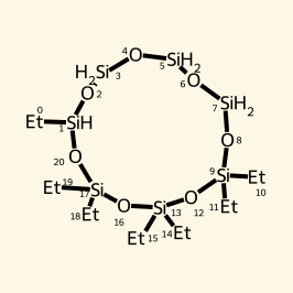 CC[SiH]1O[SiH2]O[SiH2]O[SiH2]O[Si](CC)(CC)O[Si](CC)(CC)O[Si](CC)(CC)O1